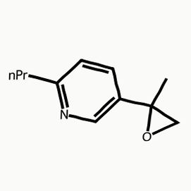 CCCc1ccc(C2(C)CO2)cn1